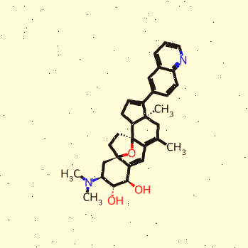 CC1=C2C=C3[C@@H](O)[C@H](O)[C@@H](N(C)C)C[C@]34CC[C@]2(O4)C2CC=C(c3ccc4ncccc4c3)[C@@]2(C)C1